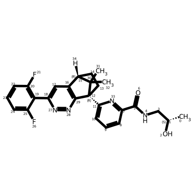 C[C@H](O)CNC(=O)c1cccc([C@]23CC[C@@H](c4cc(-c5c(F)cccc5F)nnc42)C3(C)C)n1